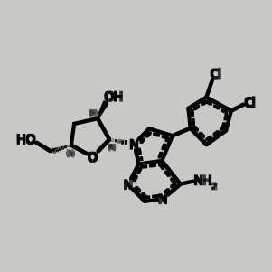 Nc1ncnc2c1c(-c1ccc(Cl)c(Cl)c1)cn2[C@@H]1O[C@H](CO)C[C@H]1O